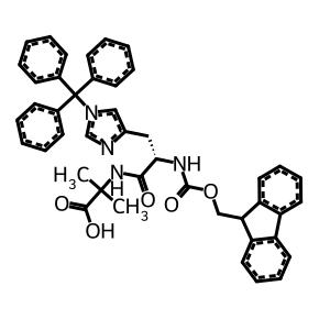 CC(C)(NC(=O)[C@H](Cc1cn(C(c2ccccc2)(c2ccccc2)c2ccccc2)cn1)NC(=O)OCC1c2ccccc2-c2ccccc21)C(=O)O